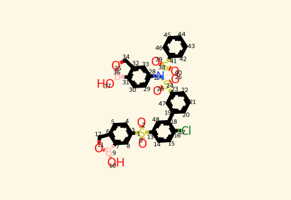 O=S(=O)(c1ccc2c(c1)B(O)OC2)c1ccc(Cl)c(-c2cccc(S(=O)(=O)N(c3ccc4c(c3)COB4O)S(=O)(=O)c3ccccc3)c2)c1